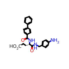 Nc1ccc(CNC(=O)[C@H](CCC(=O)O)NC(=O)c2ccc(-c3ccccc3)cc2)cc1